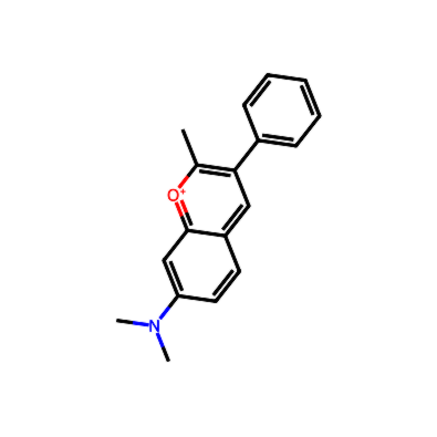 Cc1[o+]c2cc(N(C)C)ccc2cc1-c1ccccc1